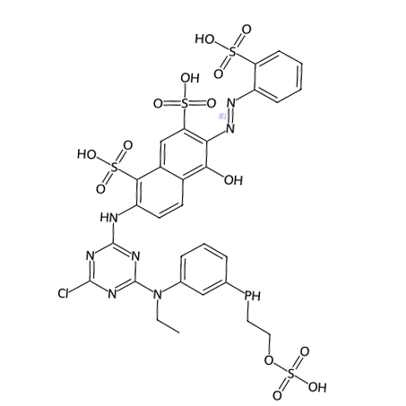 CCN(c1cccc(PCCOS(=O)(=O)O)c1)c1nc(Cl)nc(Nc2ccc3c(O)c(/N=N/c4ccccc4S(=O)(=O)O)c(S(=O)(=O)O)cc3c2S(=O)(=O)O)n1